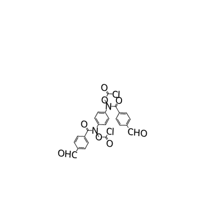 O=Cc1ccc(C(=O)N(OC(=O)Cl)c2ccc(N(OC(=O)Cl)C(=O)c3ccc(C=O)cc3)cc2)cc1